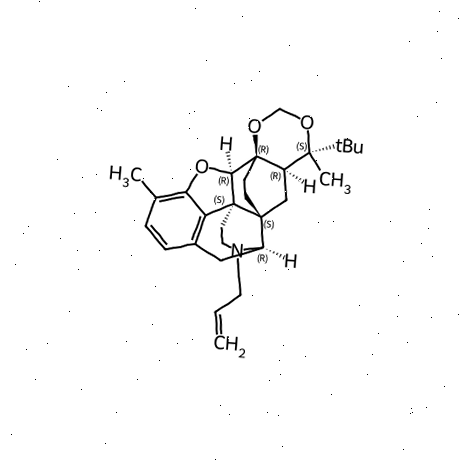 C=CCN1CC[C@]23c4c5ccc(C)c4O[C@H]2[C@@]24CC[C@@]3(C[C@@H]2[C@@](C)(C(C)(C)C)OCO4)[C@H]1C5